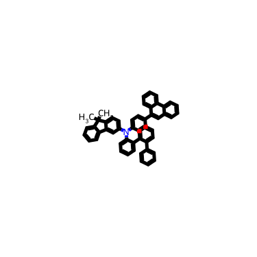 CC1(C)c2ccccc2-c2cc(N(c3ccc(-c4cc5ccccc5c5ccccc45)cc3)c3ccccc3-c3ccccc3-c3ccccc3)ccc21